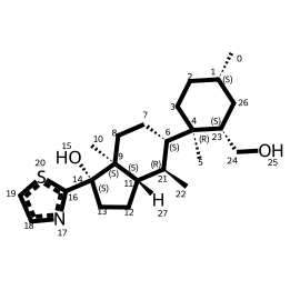 C[C@H]1CC[C@](C)([C@H]2CC[C@@]3(C)[C@@H](CC[C@@]3(O)c3nccs3)[C@@H]2C)[C@@H](CO)C1